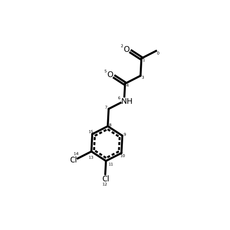 CC(=O)CC(=O)NCc1ccc(Cl)c(Cl)c1